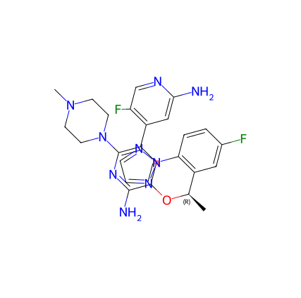 C[C@@H](Oc1cc(-c2cc(N)ncc2F)c(N2CCN(C)CC2)nc1N)c1cc(F)ccc1-n1nccn1